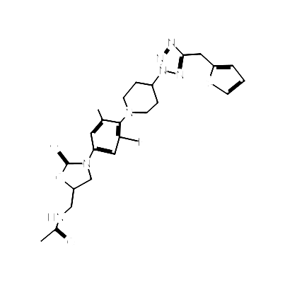 CC(=O)NCC1CN(c2cc(F)c(N3CCC(n4nnc(Cc5cccs5)n4)CC3)c(F)c2)C(=O)O1